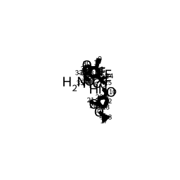 C#Cc1nc([C@@](O)(CNC(=O)c2ccc(OC3CC3)c(OC)c2)C(F)(F)F)cc2c1OC[C@]2(C)C(N)=O